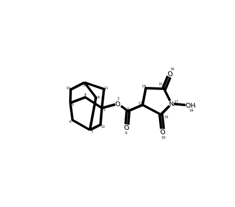 O=C(OC12CC3CC(CC(C3)C1)C2)C1CC(=O)N(O)C1=O